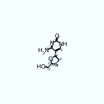 Nc1nc(=O)[nH]cc1[C@H]1CS[C@@H](CO)O1